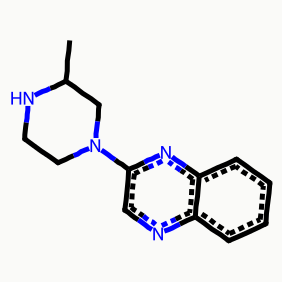 CC1CN(c2cnc3ccccc3n2)CCN1